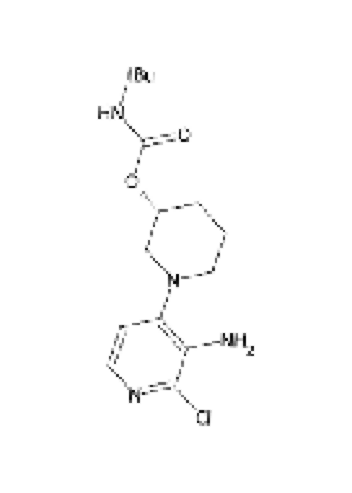 CC(C)(C)NC(=O)O[C@@H]1CCCN(c2ccnc(Cl)c2N)C1